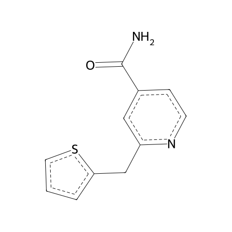 NC(=O)c1ccnc(Cc2cccs2)c1